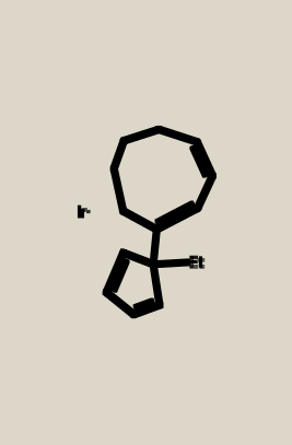 CCC1(C2=CC=CCCCC2)C=CC=C1.[Ir]